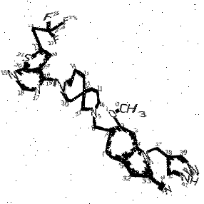 COc1cc2c(cc1CN1CCC3(CCN(c4ncnc5sc(CC(F)(F)F)cc45)C3)C1)cc(C#N)n2Cc1cn[nH]c1